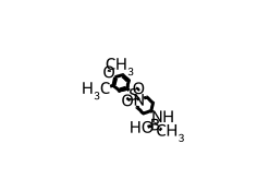 COc1ccc(S(=O)(=O)N2CCC(NB(C)O)CC2)cc1C